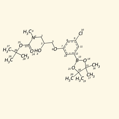 CN(CC(O)COc1cc(Cl)cc(B2OC(C)(C)C(C)(C)O2)c1)C(=O)OC(C)(C)C